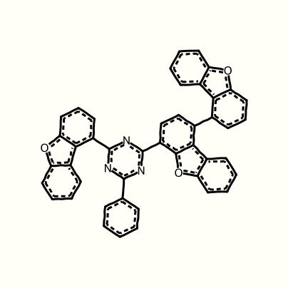 c1ccc(-c2nc(-c3ccc(-c4cccc5oc6ccccc6c45)c4c3oc3ccccc34)nc(-c3cccc4oc5ccccc5c34)n2)cc1